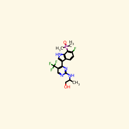 CC(CO)Nc1ncc(C(F)(F)F)c(-c2c[nH]c3c(P(C)(C)=O)c(F)ccc23)n1